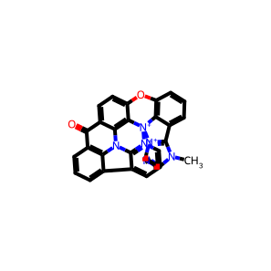 Cn1c2[n+](c3cnccc31)[N+]13c4c(cccc4-2)Oc2ccc4c(=O)c5cccc6c7ccc[n+]1c7n(c4c23)c56